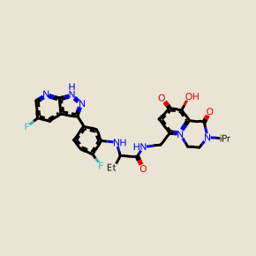 CCC(Nc1cc(-c2n[nH]c3ncc(F)cc23)ccc1F)C(=O)NCc1cc(=O)c(O)c2n1CCN(C(C)C)C2=O